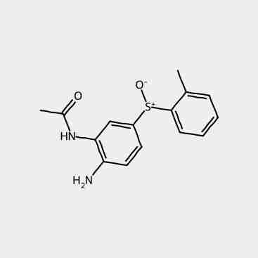 CC(=O)Nc1cc([S+]([O-])c2ccccc2C)ccc1N